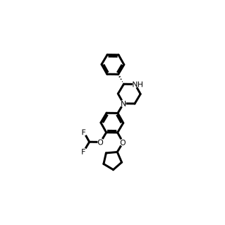 FC(F)Oc1ccc(N2CCN[C@@H](c3ccccc3)C2)cc1OC1CCCC1